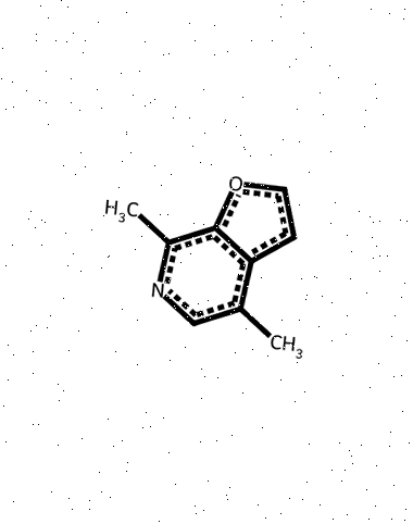 Cc1cnc(C)c2occc12